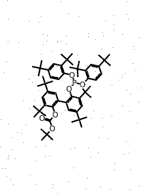 CC(C)(C)OC(=O)Oc1c(-c2cc(C(C)(C)C)cc(C(C)(C)C)c2OP(Oc2ccc(C(C)(C)C)cc2C(C)(C)C)Oc2ccc(C(C)(C)C)cc2C(C)(C)C)cc(C(C)(C)C)cc1C(C)(C)C